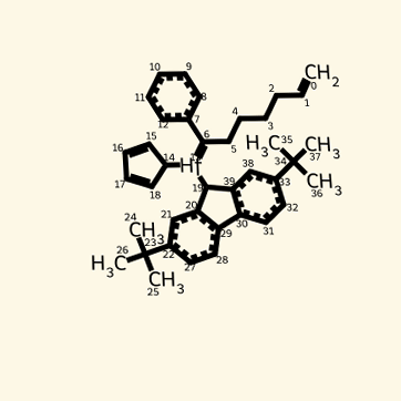 C=CCCCC[C](c1ccccc1)=[Hf]([CH]1C=CC=C1)[CH]1c2cc(C(C)(C)C)ccc2-c2ccc(C(C)(C)C)cc21